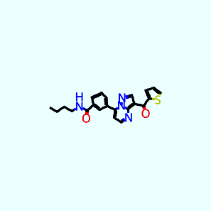 CCCCNC(=O)c1cccc(-c2ccnc3c(C(=O)c4cccs4)cnn23)c1